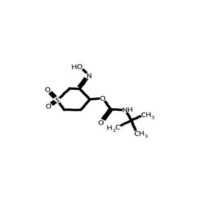 CC(C)(C)NC(=O)OC1CCS(=O)(=O)C/C1=N\O